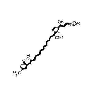 CCCCCCCCCCCC[C@H](O)[C@H]1CC[C@H]([C@H](O)CCCCCCCCCC[C@H](O)CC2=C[C@@H](C)OC2=O)O1